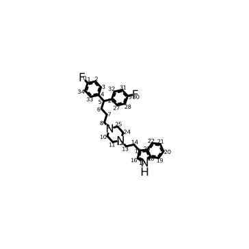 Fc1ccc(C(CCCN2CCN(CCc3c[nH]c4ccccc34)CC2)c2ccc(F)cc2)cc1